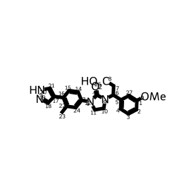 COc1cccc(C(CC(=O)O)N2CCN(c3ccc(-c4cn[nH]c4)c(C)c3)C2=O)c1